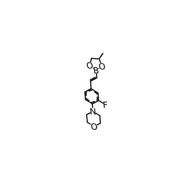 CC1COB(C=Cc2ccc(N3CCOCC3)c(F)c2)O1